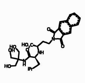 CC(C)C[C@H](N[C@H](CCN1C(=O)c2cc3ccccc3cc2C1=O)C(=O)O)C(=O)NC(CO)(CO)CO